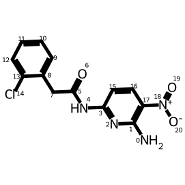 Nc1nc(NC(=O)Cc2ccccc2Cl)ccc1[N+](=O)[O-]